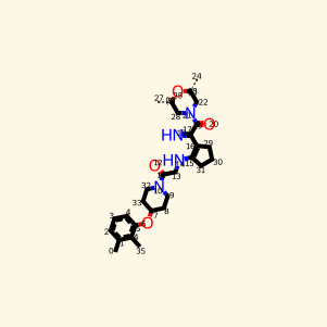 Cc1cccc(OC2CCN(C(=O)CNC3=C(C(=N)C(=O)N4C[C@@H](C)O[C@@H](C)C4)CCC3)CC2)c1C